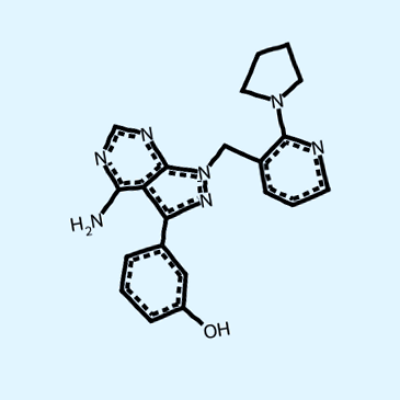 Nc1ncnc2c1c(-c1cccc(O)c1)nn2Cc1cccnc1N1CCCC1